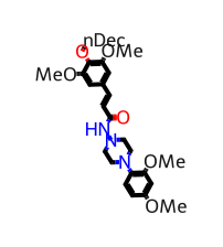 CCCCCCCCCCOc1c(OC)cc(C=CC(=O)NN2CCN(c3ccc(OC)cc3OC)CC2)cc1OC